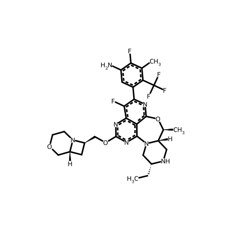 CC[C@@H]1CN2c3nc(OC[C@H]4C[C@@H]5COCCN54)nc4c(F)c(-c5cc(N)c(F)c(C)c5C(F)(F)F)nc(c34)O[C@@H](C)[C@@H]2CN1